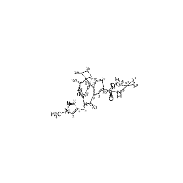 Cn1cc(CN2C(=O)c3cc(S(=O)(=O)NC4(C)CC4)ccc3N3C2=NCC32CCC2)cn1